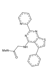 CNC(=O)CNc1nc(-c2ccccn2)nc2scc(-c3ccccc3)c12